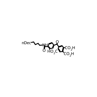 CCCCCCCCCCCCCCNC(=O)c1ccc(C(=O)c2ccc(C(=O)O)c(C(=O)O)c2)cc1C(=O)O